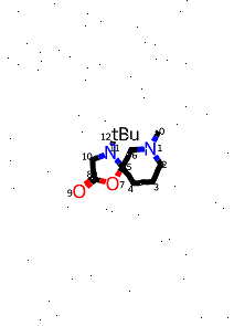 CN1CCCC2(C1)OC(=O)CN2C(C)(C)C